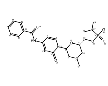 CN1CC(n2ccc(NC(=O)c3ccccc3)nc2=O)O[C@H](COP(=O)(Cl)N(C)C)C1